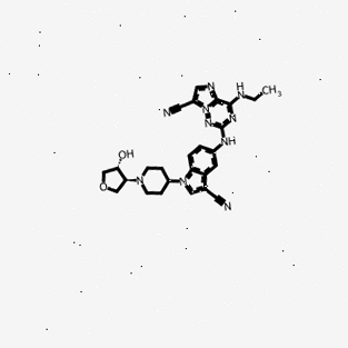 CCNc1nc(Nc2ccc3c(c2)c(C#N)cn3C2CCN([C@H]3COC[C@@H]3O)CC2)nn2c(C#N)cnc12